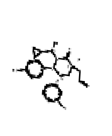 C=CC[C@@]1(C)C[C@H](c2cccc(Cl)c2)[C@@H](c2ccc(Cl)cc2)N([C@H](CC)C2CC2)C1=O